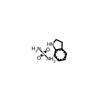 NS(N)(=O)=O.c1ccc2c(c1)CCN2